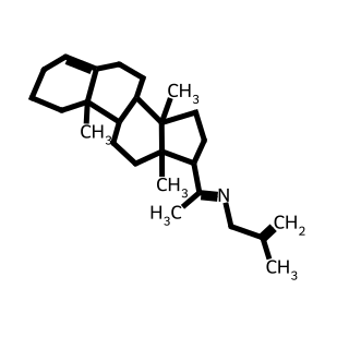 C=C(C)C/N=C(\C)C1CCC2(C)C3CCC4=CCCCC4(C)C3CCC12C